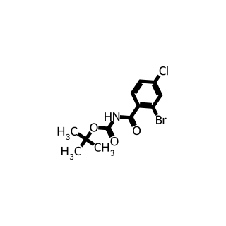 CC(C)(C)OC(=O)NC(=O)c1ccc(Cl)cc1Br